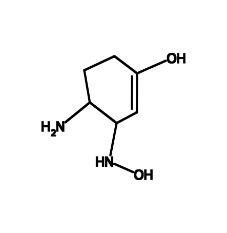 NC1CCC(O)=CC1NO